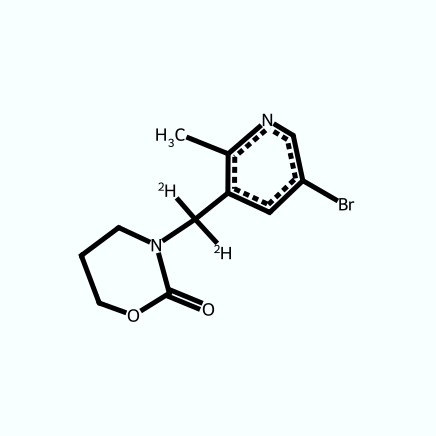 [2H]C([2H])(c1cc(Br)cnc1C)N1CCCOC1=O